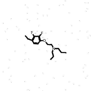 CCCN(CCC)CCOc1ccc(CC)c(F)c1F